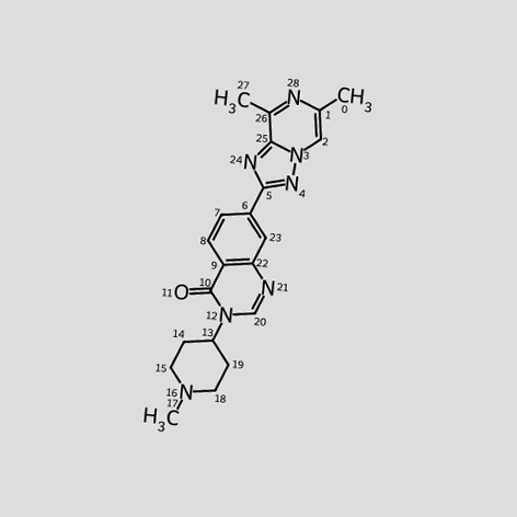 Cc1cn2nc(-c3ccc4c(=O)n(C5CCN(C)CC5)cnc4c3)nc2c(C)n1